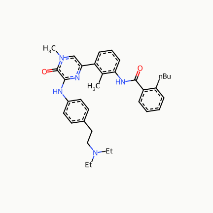 CCCCc1ccccc1C(=O)Nc1cccc(-c2cn(C)c(=O)c(Nc3ccc(CCN(CC)CC)cc3)n2)c1C